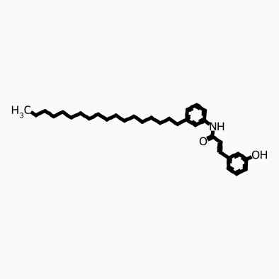 CCCCCCCCCCCCCCCCCCc1cccc(NC(=O)C=Cc2cccc(O)c2)c1